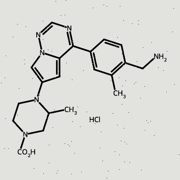 Cc1cc(-c2ncnn3cc(N4CCN(C(=O)O)CC4C)cc23)ccc1CN.Cl